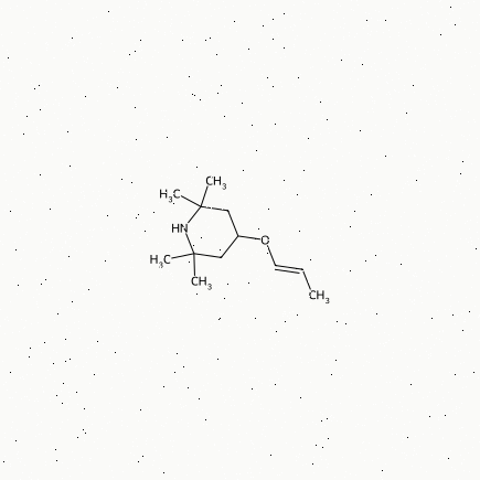 CC=COC1CC(C)(C)NC(C)(C)C1